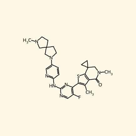 Cc1c(-c2nc(Nc3ccc(N4CCC5(CCN(C)C5)C4)cn3)ncc2F)sc2c1C(=O)N(C)CC21CC1